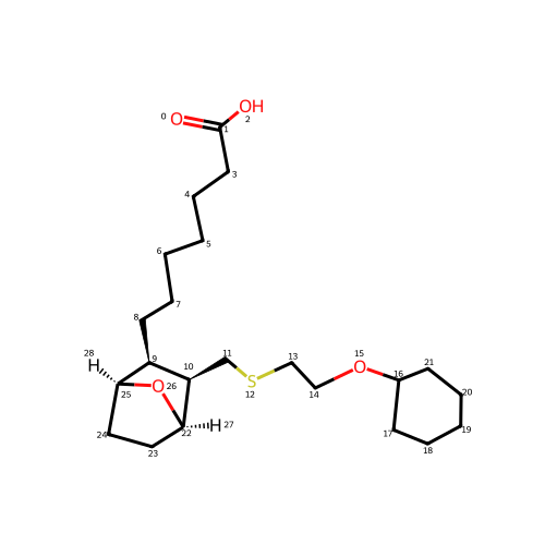 O=C(O)CCCCCC[C@H]1[C@@H](CSCCOC2CCCCC2)[C@H]2CC[C@@H]1O2